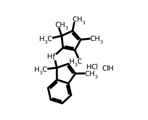 CC1=C[C](C)([Hf][C]2=C(C)C(C)=C(C)C2(C)C)c2ccccc21.Cl.Cl